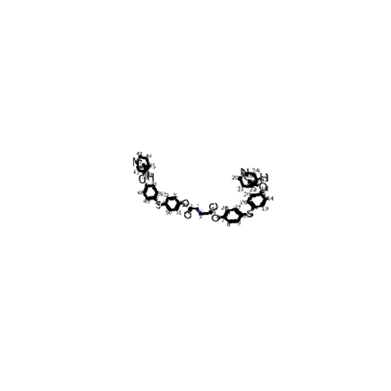 O=C(/C=C/C(=O)Oc1ccc(Sc2ccc(O[C@H]3CN4CCC3CC4)cc2)cc1)Oc1ccc(Sc2ccc(O[C@H]3CN4CCC3CC4)cc2)cc1